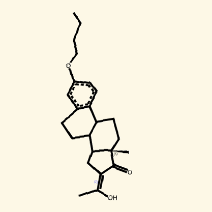 CCCCOc1ccc2c(c1)CCC1C2CC[C@]2(C)C(=O)/C(=C(/C)O)CC12